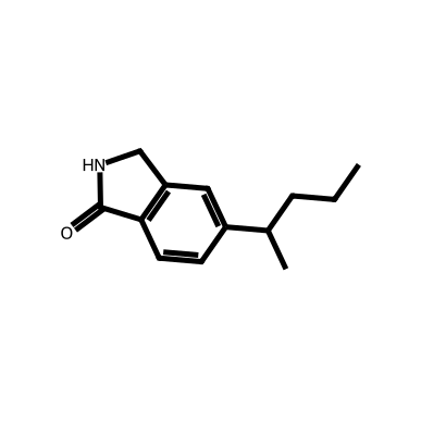 CCCC(C)c1ccc2c(c1)CNC2=O